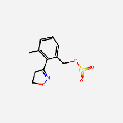 Cc1cccc(CO[SH](=O)=O)c1C1=NOCC1